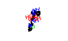 O=C(NCc1ccn(Cc2ccccc2Cl)n1)[C@H](O)[C@@H](O)C(=O)N1CCNC[C@H]1c1ccccc1